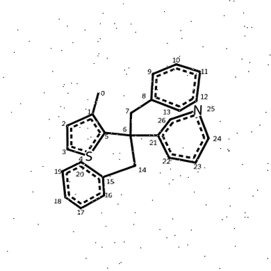 Cc1ccsc1C(Cc1ccccc1)(Cc1ccccc1)c1cccnc1